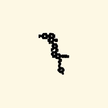 COc1cc2c(Oc3ccc(NC(=O)c4nccn(-c5ccc(F)cc5)c4=O)cc3F)ccnc2cc1OCCCN1CCN(C)CC1